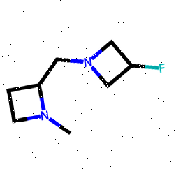 CN1CCC1CN1CC(F)C1